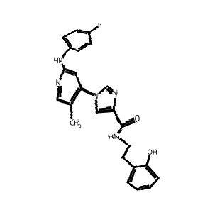 Cc1cnc(Nc2ccc(F)cc2)cc1-n1cnc(C(=O)NCCc2ccccc2O)c1